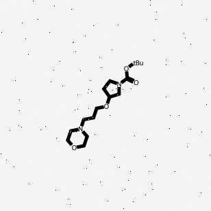 CC(C)(C)OC(=O)N1CCC(OCCCN2CCOCC2)C1